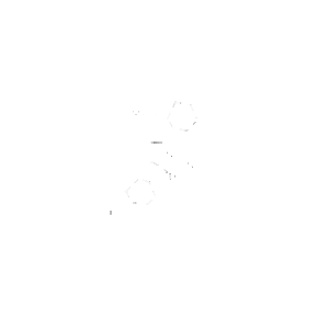 COc1ccccc1C(=O)NS(=O)(=O)c1ccc(C(C)C)cc1.NC=O